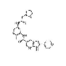 Cc1ncc(NC(=O)CN2CCC[C@@H]2C)cc1NC(=O)c1cnc2[nH]c(C3=CCOCC3)cc2c1